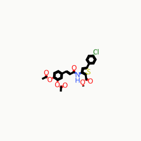 COC(=O)c1sc(-c2ccc(Cl)cc2)cc1NC(=O)C=Cc1ccc(OC(C)=O)c(OC(C)=O)c1